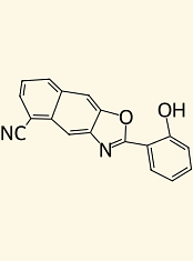 N#Cc1cccc2cc3oc(-c4ccccc4O)nc3cc12